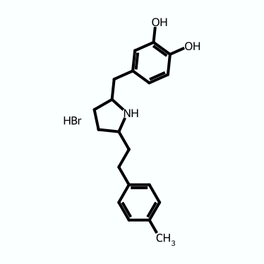 Br.Cc1ccc(CCC2CCC(Cc3ccc(O)c(O)c3)N2)cc1